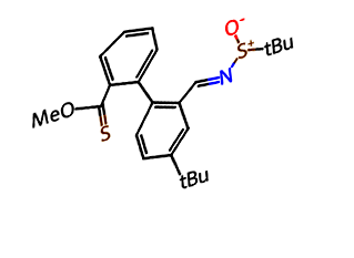 COC(=S)c1ccccc1-c1ccc(C(C)(C)C)cc1/C=N/[S+]([O-])C(C)(C)C